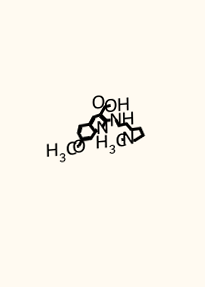 COc1ccc2cc(C(=O)O)c(NCCC3CCCN3C)nc2c1